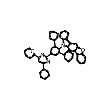 c1ccc(-c2cc(-c3ccccc3)nc(-c3cc(-c4ccccc4)c(-n4c5ccccc5c5cc6oc7ccccc7c6cc54)c(-c4ccccc4)c3)n2)cc1